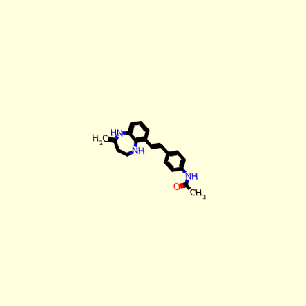 C=C1CCNc2c(/C=C/c3ccc(NC(C)=O)cc3)cccc2N1